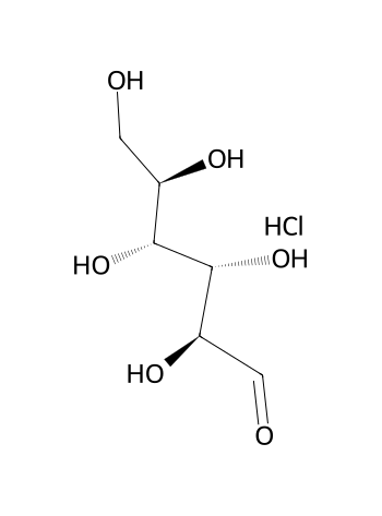 Cl.O=C[C@@H](O)[C@@H](O)[C@H](O)[C@H](O)CO